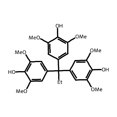 CCC(c1cc(OC)c(O)c(OC)c1)(c1cc(OC)c(O)c(OC)c1)c1cc(OC)c(O)c(OC)c1